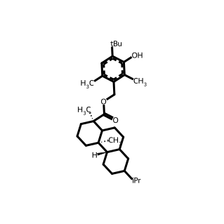 Cc1cc(C(C)(C)C)c(O)c(C)c1COC(=O)[C@]1(C)CCC[C@@]2(C)C1CCC1CC(C(C)C)CC[C@@H]12